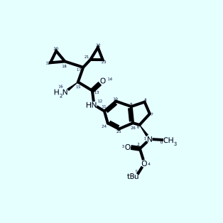 CN(C(=O)OC(C)(C)C)[C@@H]1CCc2cc(NC(=O)[C@@H](N)C(C3CC3)C3CC3)ccc21